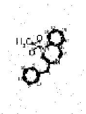 CS(=O)(=O)N1C=C(Cc2ccccc2)N=Cc2ccccc21